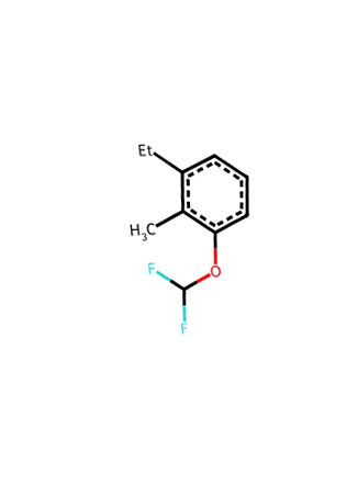 CCc1cccc(OC(F)F)c1C